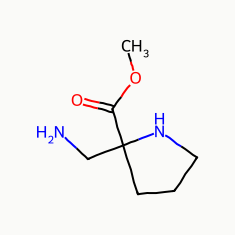 COC(=O)C1(CN)CCCN1